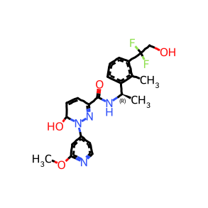 COc1cc(N2N=C(C(=O)N[C@H](C)c3cccc(C(F)(F)CO)c3C)C=CC2O)ccn1